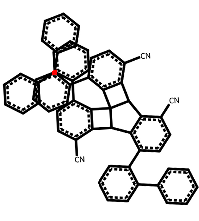 N#Cc1ccc(-c2ccccc2-c2ccccc2)c2c1C1c3c(C#N)ccc(-c4ccccc4-c4ccccc4)c3C13c1c(-c4ccccc4-c4ccccc4)ccc(C#N)c1C23